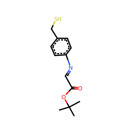 CC(C)(C)OC(=O)C=Nc1ccc(CS)cc1